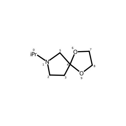 CC(C)N1CCC2(C1)OCCO2